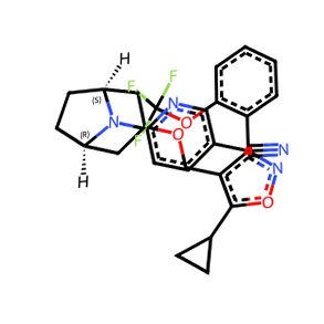 N#Cc1ccc(N2[C@@H]3CC[C@H]2CC(OCc2c(-c4ccccc4OC(F)(F)F)noc2C2CC2)C3)nc1